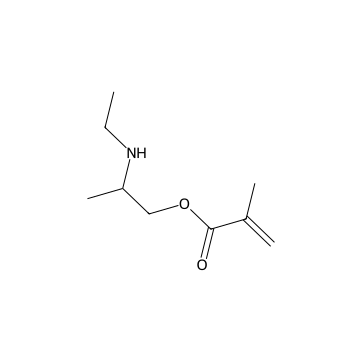 C=C(C)C(=O)OCC(C)NCC